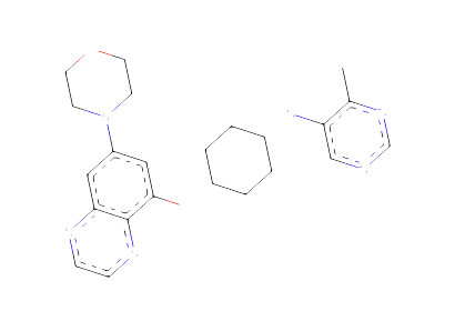 Cc1ncncc1N[C@H]1CC[C@@H](Oc2cc(N3CCOCC3)cc3nccnc23)CC1